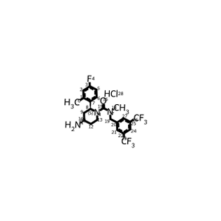 Cc1cc(F)ccc1[C@@H]1C[C@H](N)CCN1C(=O)N(C)Cc1cc(C(F)(F)F)cc(C(F)(F)F)c1.Cl